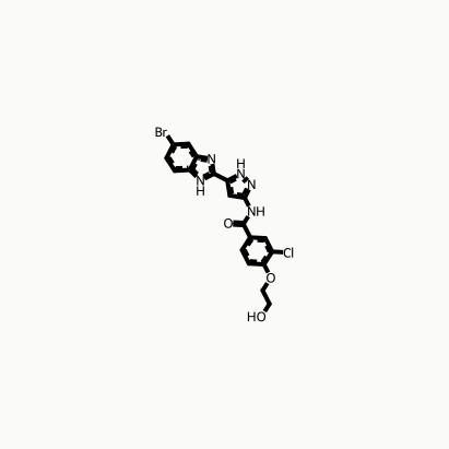 O=C(Nc1cc(-c2nc3cc(Br)ccc3[nH]2)[nH]n1)c1ccc(OCCO)c(Cl)c1